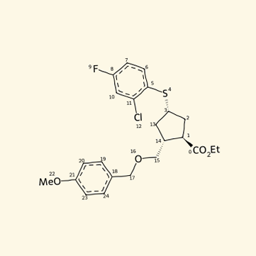 CCOC(=O)[C@@H]1C[C@@H](Sc2ccc(F)cc2Cl)C[C@H]1COCc1ccc(OC)cc1